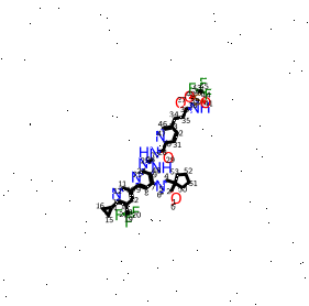 COCC1(CN(C)c2cc(-c3cnc(C4CC4)c(C(F)(F)F)c3)nc3nc(NC(=O)c4ccc(CCC(=O)NS(=O)(=O)C(F)(F)F)cn4)[nH]c23)CCCC1